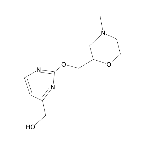 CN1CCOC(COc2nccc(CO)n2)C1